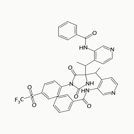 CC(c1ccncc1NC(=O)c1ccccc1)C1(C(C)c2ccncc2NC(=O)c2ccccc2)NC(=O)N(c2ccc(S(=O)(=O)C(F)(F)F)cc2)C1=O